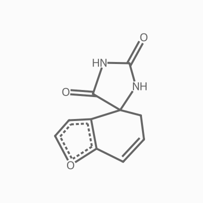 O=C1NC(=O)C2(CC=Cc3occc32)N1